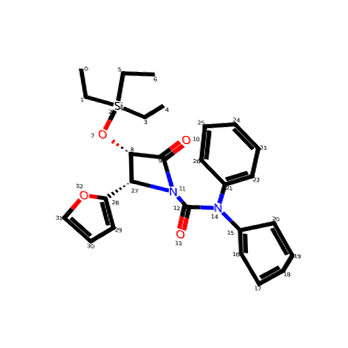 CC[Si](CC)(CC)O[C@@H]1C(=O)N(C(=O)N(c2ccccc2)c2ccccc2)[C@@H]1c1ccco1